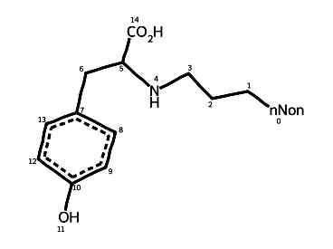 CCCCCCCCCCCCNC(Cc1ccc(O)cc1)C(=O)O